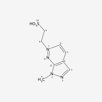 Cn1ncc2cc[n+](CCS(=O)(=O)O)nc21